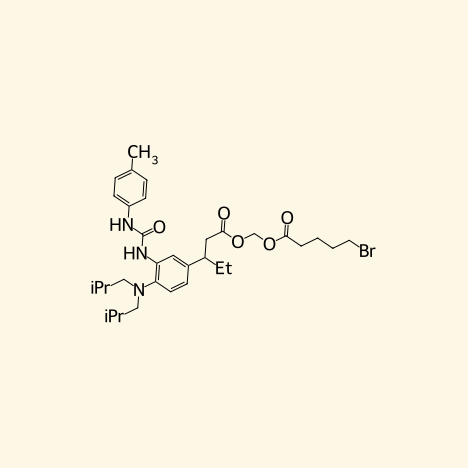 CCC(CC(=O)OCOC(=O)CCCCBr)c1ccc(N(CC(C)C)CC(C)C)c(NC(=O)Nc2ccc(C)cc2)c1